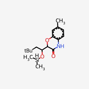 Cc1ccc2c(c1)OC(C(CC(C)(C)C)O[SiH](C)C)C(=O)N2